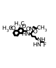 COc1cc2c(OC)cccc2cc1C(=O)NC(CCCNC(=N)CF)c1ncc(C)o1